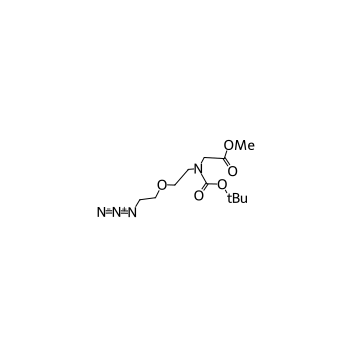 COC(=O)CN(CCOCCN=[N+]=[N-])C(=O)OC(C)(C)C